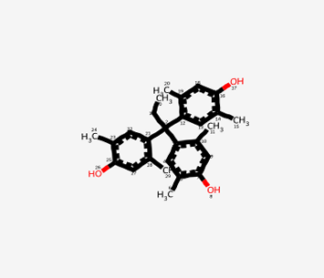 CCC(c1cc(C)c(O)cc1C)(c1cc(C)c(O)cc1C)c1cc(C)c(O)cc1C